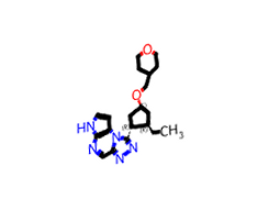 CC[C@@H]1C[C@H](OCC2CCOCC2)C[C@H]1c1nnc2cnc3[nH]ccc3n12